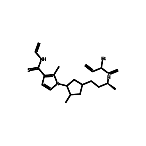 C=CNC(=S)c1ccn(C2CC(CC[C@H](C)[PH](=C)C(C=C)CC)CC2C)c1C